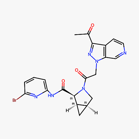 CC(=O)c1nn(CC(=O)N2C[C@H]3C[C@H]3[C@H]2C(=O)Nc2cccc(Br)n2)c2cnccc12